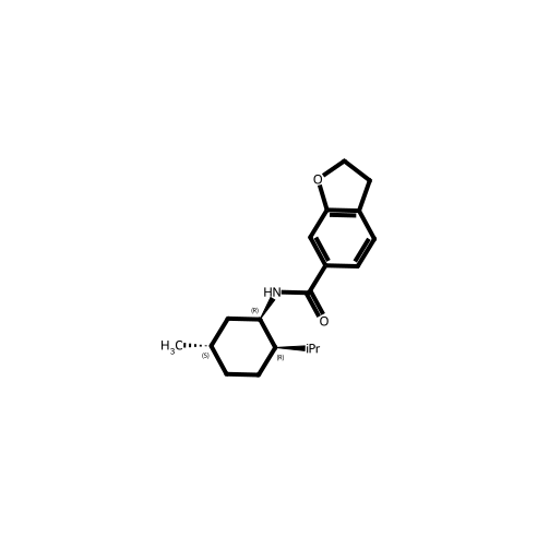 CC(C)[C@H]1CC[C@H](C)C[C@H]1NC(=O)c1ccc2c(c1)OCC2